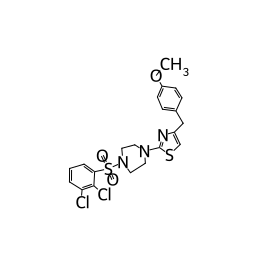 COc1ccc(Cc2csc(N3CCN(S(=O)(=O)c4cccc(Cl)c4Cl)CC3)n2)cc1